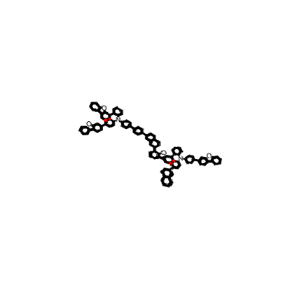 c1ccc(N(c2ccc(-c3ccc(-c4ccc5ccc(-c6cccc7c6oc6c(-c8ccccc8N(c8ccc(-c9ccc%10ccccc%10c9)cc8)c8ccc(-c9ccc%10c(c9)oc9ccccc9%10)cc8)cccc67)cc5c4)cc3)cc2)c2ccc(-c3ccc4c(c3)oc3ccccc34)cc2)c(-c2cccc3c2oc2ccccc23)c1